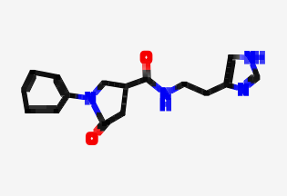 O=C(NCCc1c[nH]cn1)C1CC(=O)N(c2ccccc2)C1